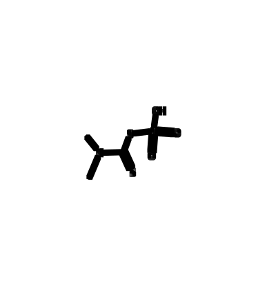 CN(C)C(=S)SS(=O)(=O)O